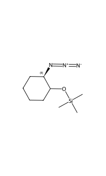 C[Si](C)(C)OC1CCCC[C@H]1N=[N+]=[N-]